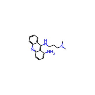 CN(C)CCCNc1c2ccccc2nc2cccc(N)c12